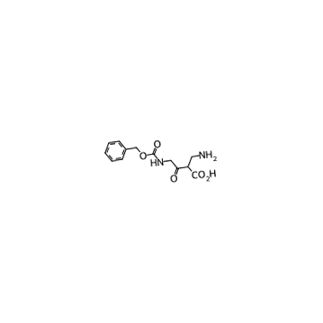 NCC(C(=O)O)C(=O)CNC(=O)OCc1ccccc1